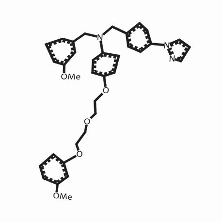 COc1cccc(CN(Cc2ccc(-n3cccn3)cc2)c2ccc(OCCOCCOc3cccc(OC)c3)cc2)c1